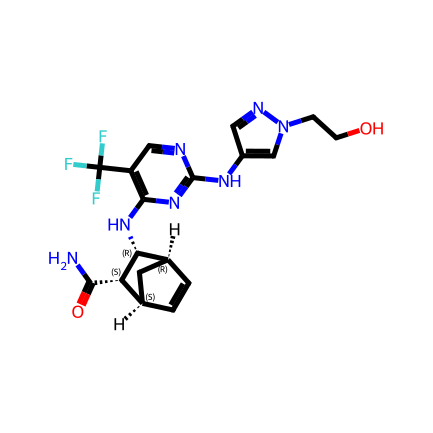 NC(=O)[C@@H]1[C@H](Nc2nc(Nc3cnn(CCO)c3)ncc2C(F)(F)F)[C@H]2C=C[C@@H]1C2